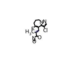 C/C(=C\C1=C(F)CCCn2ncc(Cl)c21)C(=O)N=O